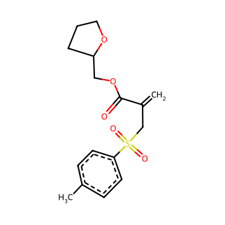 C=C(CS(=O)(=O)c1ccc(C)cc1)C(=O)OCC1CCCO1